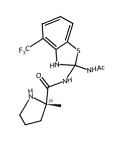 CC(=O)NC1(NC(=O)[C@]2(C)CCCN2)Nc2c(cccc2C(F)(F)F)S1